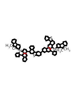 CC1(C)c2ccccc2-c2ccc(N(c3ccc(-c4cc5sc6ccc(-c7ccc8ccc(-c9ccccc9N(c9ccc%10c(c9)C(C)(C)c9ccccc9-%10)c9cccc%10c9ccc9sc%11ccccc%11c9%10)cc8c7)cc6c5c5ccccc45)cc3)c3ccccc3-c3cccc4ccccc34)cc21